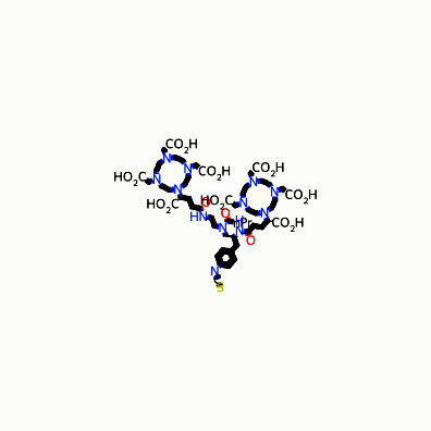 CCCC(=O)N(CCNC(=O)CC[C@@H](C(=O)O)N1CCN(CC(=O)O)CCN(CC(=O)O)CCN(CC(=O)O)CC1)C[C@H](Cc1ccc(N=C=S)cc1)NC(=O)CC[C@@H](C(=O)O)N1CCN(CC(=O)O)CCN(CC(=O)O)CCN(CC(=O)O)CC1